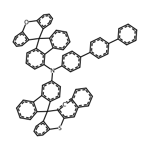 c1ccc(-c2ccc(-c3ccc(N(c4ccc5c(c4)-c4ccccc4C54c5ccccc5Sc5cc6ccccc6cc54)c4cccc5c4-c4ccccc4C54c5ccccc5Oc5ccccc54)cc3)cc2)cc1